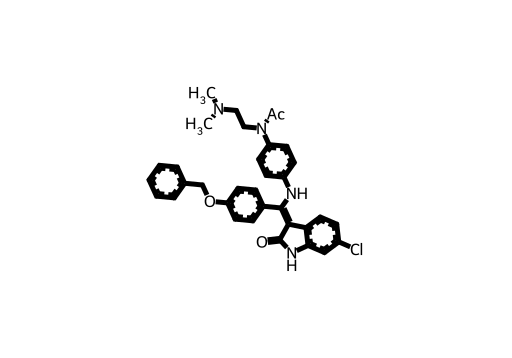 CC(=O)N(CCN(C)C)c1ccc(NC(=C2C(=O)Nc3cc(Cl)ccc32)c2ccc(OCc3ccccc3)cc2)cc1